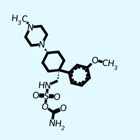 COc1cccc([C@]2(CNS(=O)(=O)OC(N)=O)CC[C@@H](N3CCN(C)CC3)CC2)c1